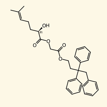 CC(C)=CCC[C@@H](O)C(=O)OCC(=O)OCCC(Cc1ccccc1)(c1ccccc1)c1ccccc1